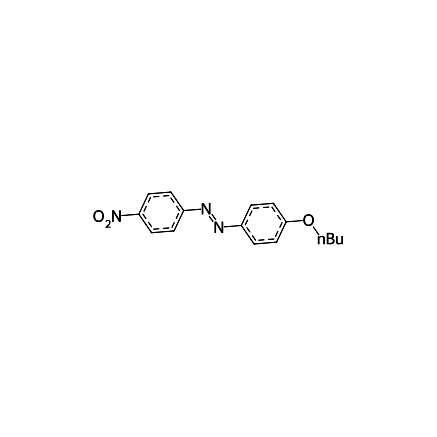 CCCCOc1ccc(N=Nc2ccc([N+](=O)[O-])cc2)cc1